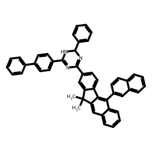 CC1(C)c2cc(C3=NC(c4ccccc4)NC(c4ccc(-c5ccccc5)cc4)=N3)ccc2-c2c1cc1ccccc1c2-c1ccc2ccccc2c1